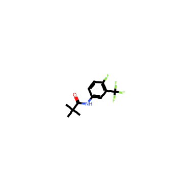 CC(C)(C)C(=O)Nc1ccc(F)c(C(F)(F)F)c1